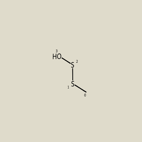 CSSO